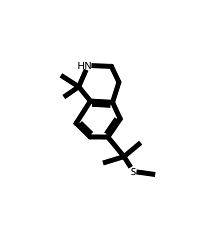 CSC(C)(C)c1ccc2c(c1)CCNC2(C)C